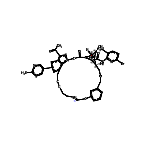 CC(=O)c1nn2c3c(cc(-c4cnc(C)nc4)cc13)CCCCC/[SH]=C/Cc1cccc(c1)COC[C@@H]1[C@H]3[C@@H](C)[C@H]3N(C(=O)C2)[C@@H]1C(=O)Nc1nc(Br)ccc1C